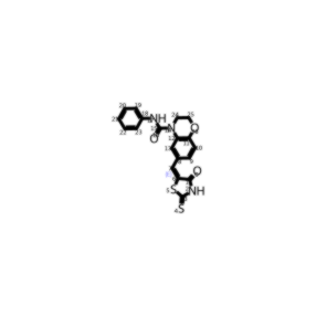 O=C1NC(=S)S/C1=C/c1ccc2c(c1)N(C(=O)Nc1ccccc1)CCO2